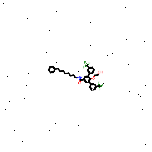 O=C(NCCCCCCCCc1ccccc1)c1cc(-c2cccc(C(F)(F)F)c2)c(OCCO)c(-c2cccc(C(F)(F)F)c2)c1